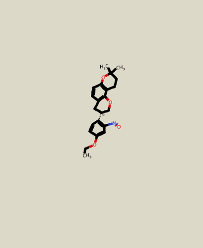 CCOc1ccc([C@H]2COc3c(ccc4c3CCC(C)(C)O4)C2)c(N=O)c1